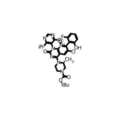 CC(C)c1ncnc(C(C)C)c1-n1c(=O)nc(N2CCN(C(=O)OC(C)(C)C)C[C@@H]2C)c2cc(Cl)c(-c3c(O)cccc3F)[n+]([O-])c21